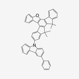 CC1(C)c2ccccc2-c2c1c1c(c3c2oc2ccccc23)-c2ccc(-n3c4ccccc4c4cc(-c5ccccc5)ccc43)cc2C1(C)C